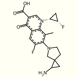 Cc1c(N2CCC3(CC3N)C2)c(F)cc2c(=O)c(C(=O)O)cn([C@@H]3C[C@@H]3F)c12